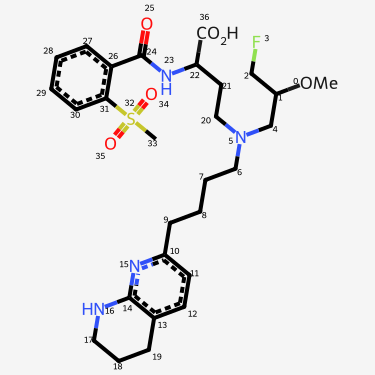 COC(CF)CN(CCCCc1ccc2c(n1)NCCC2)CCC(NC(=O)c1ccccc1S(C)(=O)=O)C(=O)O